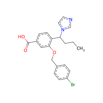 CCCC(c1ccc(C(=O)O)cc1OCc1ccc(Br)cc1)n1ccnc1